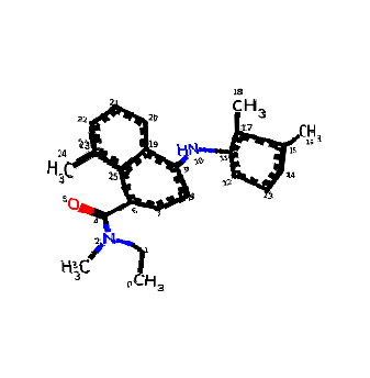 CCN(C)C(=O)c1ccc(Nc2cccc(C)c2C)c2cccc(C)c12